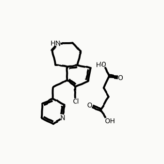 Clc1ccc2c(c1Cc1cccnc1)CCNCC2.O=C(O)CCC(=O)O